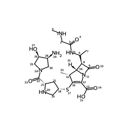 CNCC(=O)NC(C)[C@H]1C(=O)N2C(C(=O)O)=C(S[C@@H]3CN[C@H](C(=O)N4C[C@@H](O)[C@@H](N)C4)C3)[C@H](C)[C@H]12